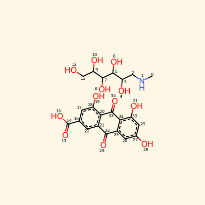 CNCC(O)C(O)C(O)C(O)CO.O=C(O)c1cc(O)c2c(c1)C(=O)c1cc(O)cc(O)c1C2=O